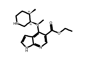 CCOC(=O)c1cnc2[nH]ccc2c1N(C)[C@H]1CNCC[C@H]1C